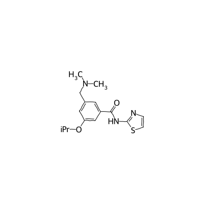 CC(C)Oc1cc(CN(C)C)cc(C(=O)Nc2nccs2)c1